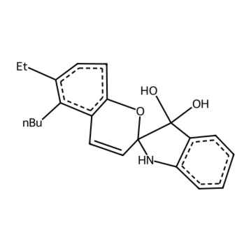 CCCCc1c(CC)ccc2c1C=CC1(Nc3ccccc3C1(O)O)O2